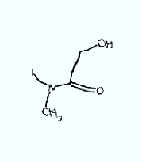 CN(I)C(=O)CO